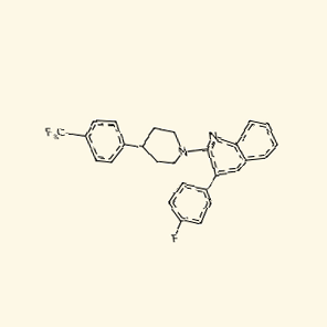 Fc1ccc(-c2cc3ccccc3nc2N2CCC(c3ccc(C(F)(F)F)cc3)CC2)cc1